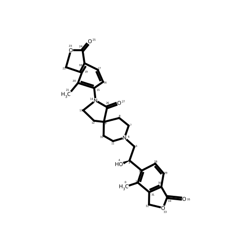 Cc1c([C@@H](O)CN2CCC3(CC2)CCN(c2ccc4c(c2C)COC4=O)C3=O)ccc2c1COC2=O